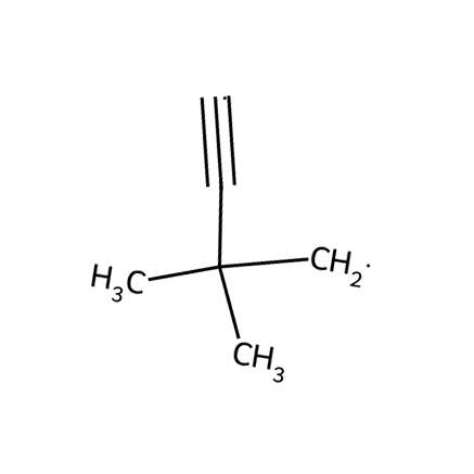 [C]#CC([CH2])(C)C